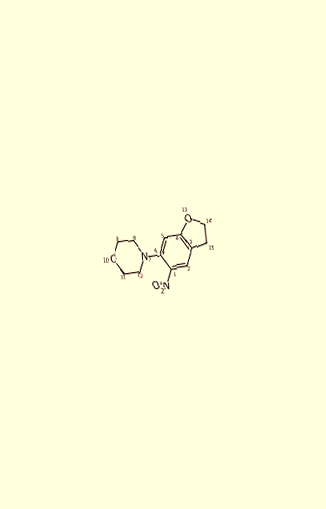 O=[N+]([O-])c1cc2c(cc1N1CCOCC1)OCC2